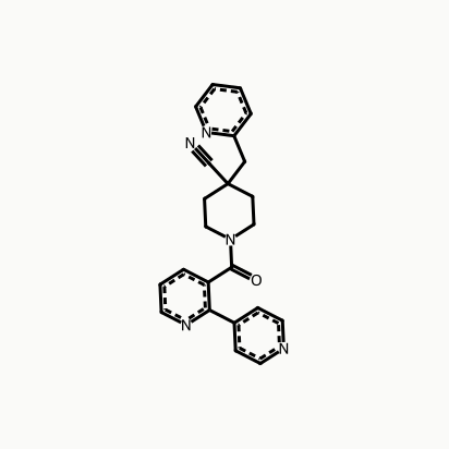 N#CC1(Cc2ccccn2)CCN(C(=O)c2cccnc2-c2ccncc2)CC1